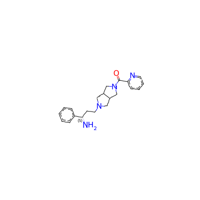 N[C@@H](CCN1CC2CN(C(=O)c3ccccn3)CC2C1)c1ccccc1